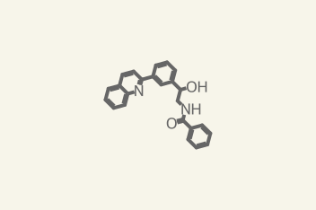 O=C(NCC(O)c1cccc(-c2ccc3ccccc3n2)c1)c1ccccc1